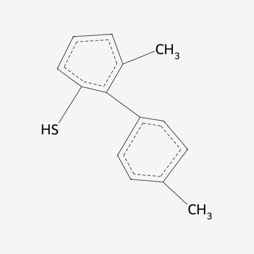 Cc1ccc(-c2c(C)cccc2S)cc1